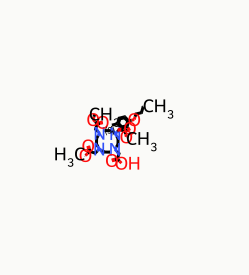 CCCCOc1ccc(C[C@H]2CN(CC(=O)OC)CCN(CC(=O)OC)CCN(CC(=O)O)CCN2CC(=O)OC)cc1